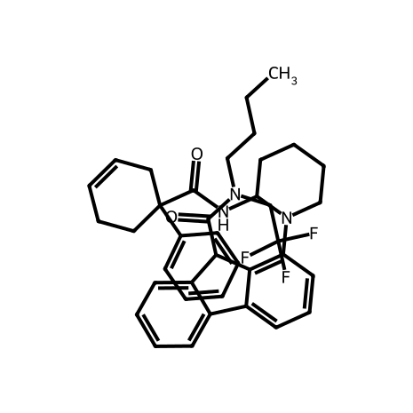 CCCCN(CC(F)(F)F)C(=O)C1c2ccccc2-c2cccc(N3CCCCC3NC(=O)C3(c4ccccc4)CC=CCC3)c21